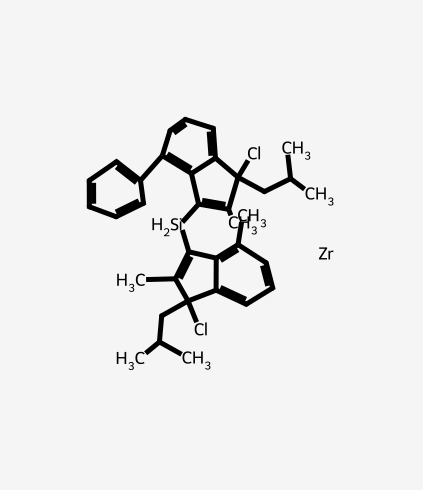 CC1=C([SiH2]C2=C(C)C(Cl)(CC(C)C)c3cccc(-c4ccccc4)c32)c2c(C)cccc2C1(Cl)CC(C)C.[Zr]